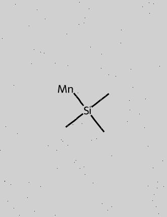 C[Si](C)(C)[Mn]